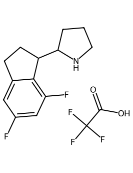 Fc1cc(F)c2c(c1)CCC2C1CCCN1.O=C(O)C(F)(F)F